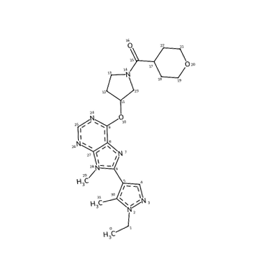 CCn1ncc(-c2nc3c(OC4CCN(C(=O)C5CCOCC5)C4)ncnc3n2C)c1C